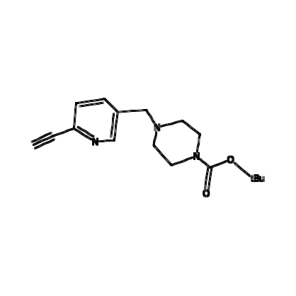 C#Cc1ccc(CN2CCN(C(=O)OC(C)(C)C)CC2)cn1